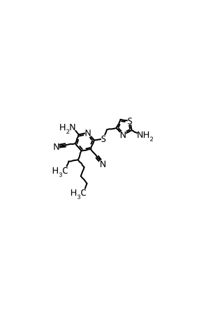 CCCCC(CC)c1c(C#N)c(N)nc(SCc2csc(N)n2)c1C#N